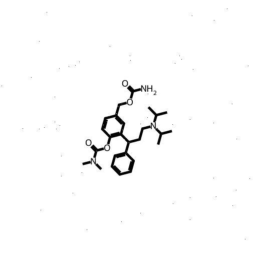 CC(C)N(CCC(c1ccccc1)c1cc(COC(N)=O)ccc1OC(=O)N(C)C)C(C)C